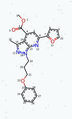 COC(=O)c1cc(-c2ccco2)nc2c1c(C)nn2CCCOc1ccccc1